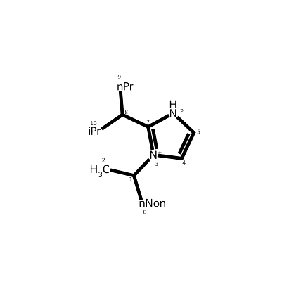 CCCCCCCCCC(C)[n+]1cc[nH]c1C(CCC)C(C)C